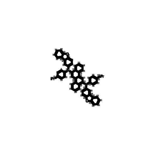 CC(C)c1ccc(N(c2ccc3oc4ccccc4c3c2)c2cc3c4ccccc4c(N(c4ccc(C(C)C)cc4)c4ccc5oc6ccccc6c5c4)cc3c3ccccc23)cc1